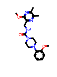 COc1ccccc1N1CCN(C(=O)NCc2nc(C)c(C)nc2OC)CC1